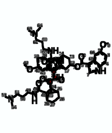 COc1ccc2[nH]cc(C(=O)OC3CC4CCC3C(C(=O)NC(=O)C3C5CCC(CC5OC(=O)c5c[nH]c6ccc(OC)cc56)C3C(=O)NCCCN(C)C)C4C(=O)NCCCN(C)C)c2c1